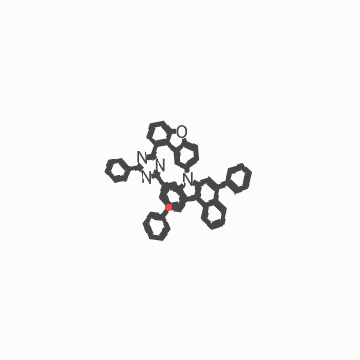 c1ccc(-c2ccc3c(c2)c2c4ccccc4c(-c4ccccc4)cc2n3-c2ccc3oc4cccc(-c5nc(-c6ccccc6)nc(-c6ccccc6)n5)c4c3c2)cc1